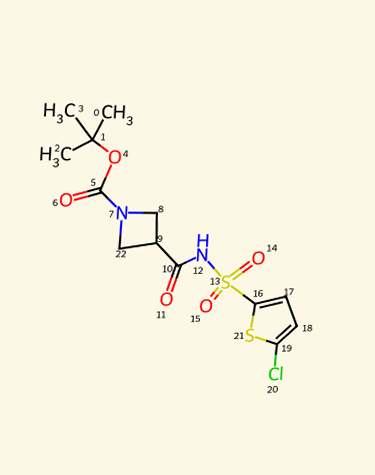 CC(C)(C)OC(=O)N1CC(C(=O)NS(=O)(=O)c2ccc(Cl)s2)C1